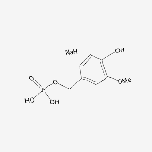 COc1cc(COP(=O)(O)O)ccc1O.[NaH]